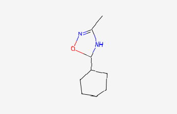 CC1=NOC(C2CCCCC2)N1